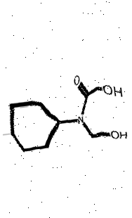 O=C(O)N(CO)C1CCCCC1